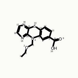 CCOCN1c2cc(C(=O)O)ccc2Sc2nccnc21